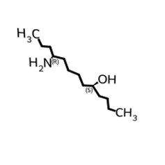 CCCC[C@H](O)CCCC[C@H](N)CCC